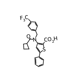 O=C(O)c1sc(-c2ccccc2)cc1N(Cc1ccc(C(F)(F)F)cc1)C(=O)C1CCC1